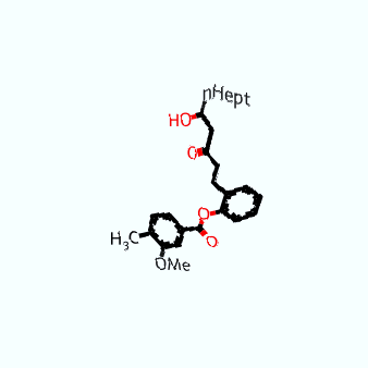 CCCCCCCC(O)CC(=O)CCc1ccccc1OC(=O)c1ccc(C)c(OC)c1